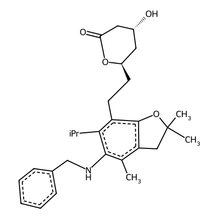 Cc1c2c(c(CC[C@@H]3C[C@@H](O)CC(=O)O3)c(C(C)C)c1NCc1ccccc1)OC(C)(C)C2